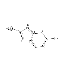 O=C(O)C1=CC2=CC=C(F)CC2=N1